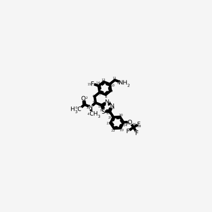 CC(=O)N(C)C(Cc1ccc(CN)cc1F)c1nnc(-c2cccc(OC(F)(F)F)c2)s1